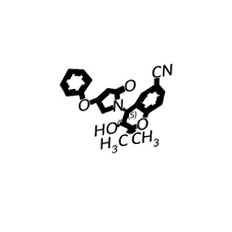 CC1(C)Oc2ccc(C#N)cc2[C@H](N2CC(Oc3ccccc3)=CC2=O)[C@H]1O